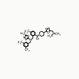 CCC(c1ccc(C(F)(F)F)cc1CN(Cc1cc(C(F)(F)F)cc(C(F)(F)F)c1)c1nnn(C)n1)N1CCC(c2nnc(CN(C)C)o2)CC1